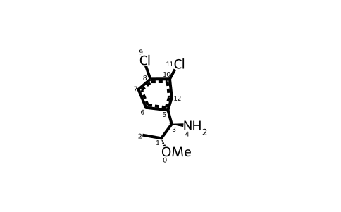 CO[C@H](C)[C@H](N)c1ccc(Cl)c(Cl)c1